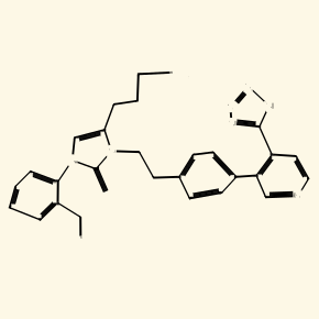 CCCCc1cn(-c2ccccc2CC)c(=O)n1CCc1ccc(-c2cnccc2-c2nnn[nH]2)cc1